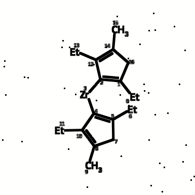 CCC1=[C]([Zr][C]2=C(CC)CC(C)=C2CC)C(CC)=C(C)C1